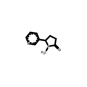 CN1C(=O)C[CH]C1c1cccnc1